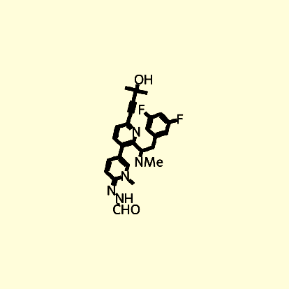 CNC(Cc1cc(F)cc(F)c1)c1nc(C#CC(C)(C)O)ccc1-c1cc/c(=N/NC=O)n(C)c1